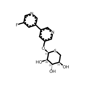 O[C@@H]1[C@@H](O)[C@@H](Oc2cncc(-c3cncc(F)c3)c2)SC[C@H]1O